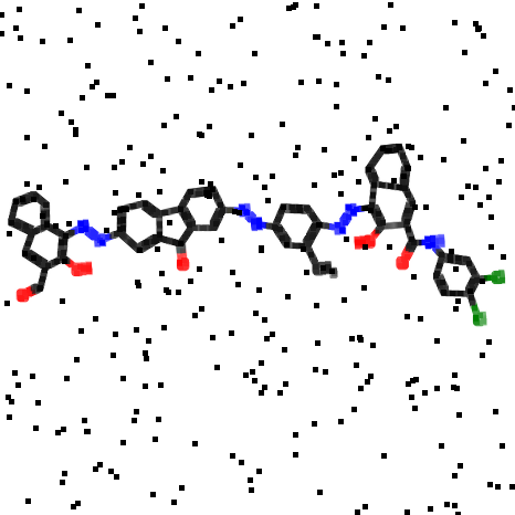 Cc1cc(N=Nc2ccc3c(c2)C(=O)c2cc(N=Nc4c(O)c(C=O)cc5ccccc45)ccc2-3)ccc1N=Nc1c(O)c(C(=O)Nc2ccc(Cl)c(Cl)c2)cc2ccccc12